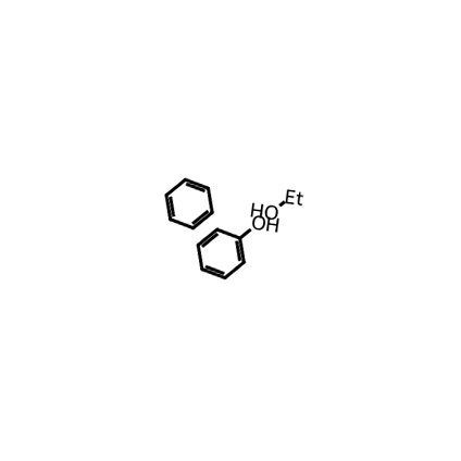 CCO.Oc1ccccc1.c1ccccc1